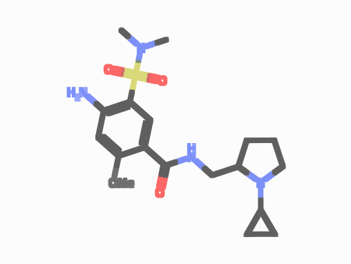 COc1cc(N)c(S(=O)(=O)N(C)C)cc1C(=O)NCC1CCCN1C1CC1